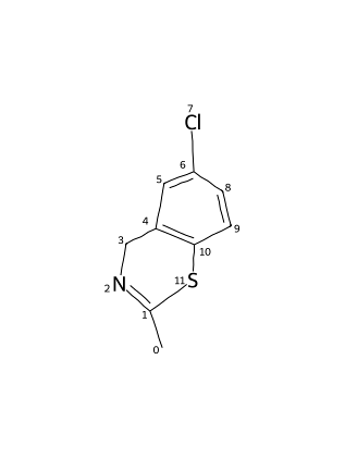 CC1=NCc2cc(Cl)ccc2S1